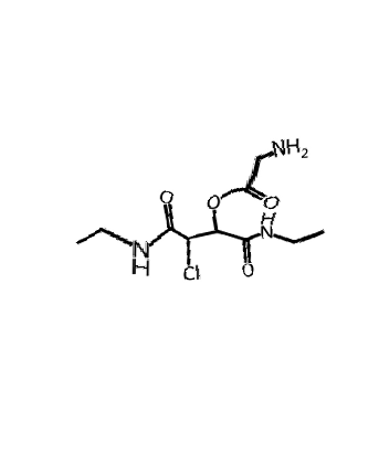 CCNC(=O)C(Cl)C(OC(=O)CN)C(=O)NCC